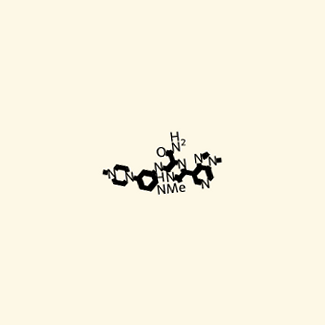 CNc1nc(Nc2cccc(N3CCN(C)CC3)c2)c(C(N)=O)nc1-c1cncc2c1ncn2C